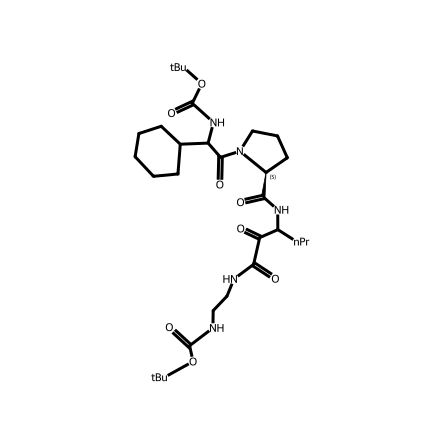 CCCC(NC(=O)[C@@H]1CCCN1C(=O)C(NC(=O)OC(C)(C)C)C1CCCCC1)C(=O)C(=O)NCCNC(=O)OC(C)(C)C